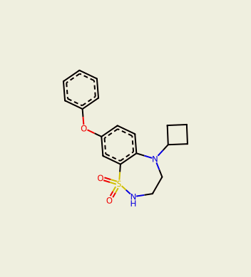 O=S1(=O)NCCN(C2CCC2)c2ccc(Oc3ccccc3)cc21